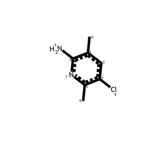 Cc1cc(Cl)c(C)nc1N